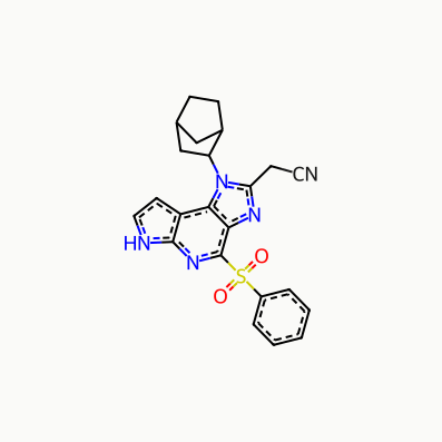 N#CCc1nc2c(S(=O)(=O)c3ccccc3)nc3[nH]ccc3c2n1C1CC2CCC1C2